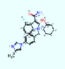 Cc1cn(-c2ccc(C[N+]3([C@H]4CCCC[C@@H]4O)C=C(C(N)=O)c4c(F)cccc43)cc2)cn1